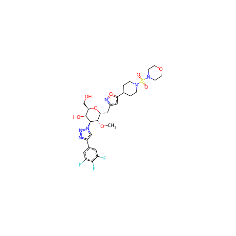 CO[C@@H]1[C@@H](n2cc(-c3cc(F)c(F)c(F)c3)nn2)[C@@H](O)[C@@H](CO)O[C@@H]1Cc1cc(C2CCN(S(=O)(=O)N3CCOCC3)CC2)on1